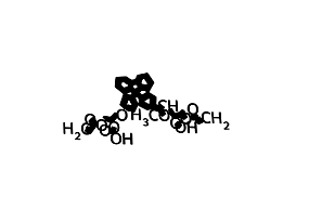 C=CC(=O)OCC(COC(C)(C)c1ccc(C2(c3ccc(OCC(COC(=O)C=C)OC(=O)O)cc3)c3ccccc3-c3ccccc32)cc1)OO